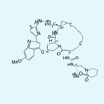 COc1ccc2c(O[C@@H]3C[C@H]4C(=O)N[C@]5(C(=O)O)CC5CCCCCCC[C@H](NC(=O)N[C@H](CN5CCCCS5(=O)=O)C(C)(C)C)C(=O)N4C3)cc(-c3csc(NC(C)C)n3)nc2c1